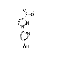 CCOC(=O)c1ccn(-c2ccc(O)cn2)n1